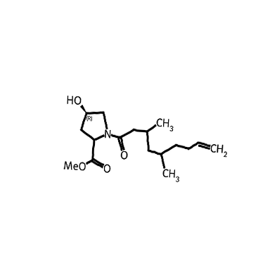 C=CCCC(C)CC(C)CC(=O)N1C[C@H](O)CC1C(=O)OC